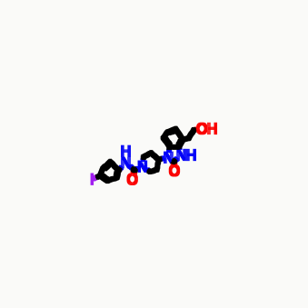 O=C(Nc1ccc(I)cc1)N1CCC(n2c(=O)[nH]c3c(CCO)cccc32)CC1